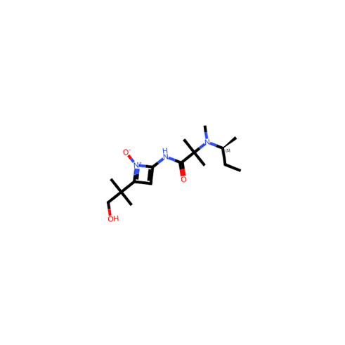 CC[C@H](C)N(C)C(C)(C)C(=O)NC1=CC(C(C)(C)CO)=[N+]1[O-]